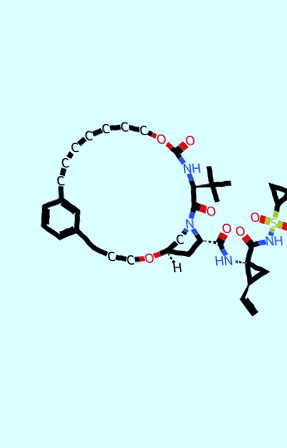 C=C[C@@H]1C[C@]1(NC(=O)[C@@H]1C[C@@H]2CN1C(=O)[C@H](C(C)(C)C)NC(=O)OCCCCCCCc1cccc(c1)CCCO2)C(=O)NS(=O)(=O)C1CC1